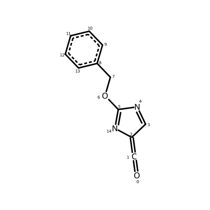 O=C=C1C=NC(OCc2ccccc2)=N1